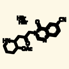 Br.Br.CC(=O)OC1CCCNC1CC(=O)Cn1cnc2ccc(C#N)cc2c1=O